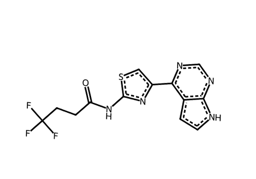 O=C(CCC(F)(F)F)Nc1nc(-c2ncnc3[nH]ccc23)cs1